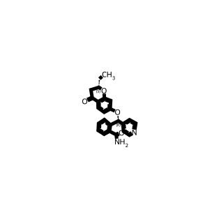 CC[C@H]1CC(=O)c2ccc(O[C@H](c3ccncc3)c3ccccc3C(N)=O)cc2O1